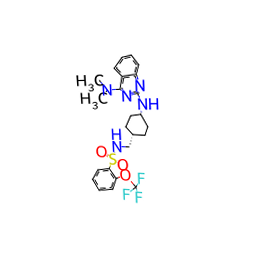 CN(C)c1nc(N[C@H]2CC[C@@H](CNS(=O)(=O)c3ccccc3OC(F)(F)F)CC2)nc2ccccc12